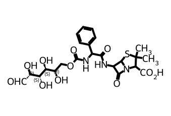 CC1(C)SC2C(NC(=O)C(NC(=O)OC[C@@H](O)[C@H](O)[C@H](O)[C@@H](O)C=O)c3ccccc3)C(=O)N2C1C(=O)O